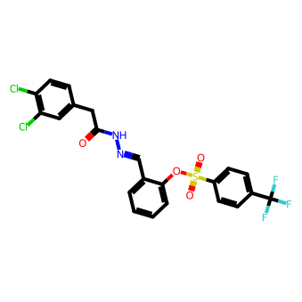 O=C(Cc1ccc(Cl)c(Cl)c1)NN=Cc1ccccc1OS(=O)(=O)c1ccc(C(F)(F)F)cc1